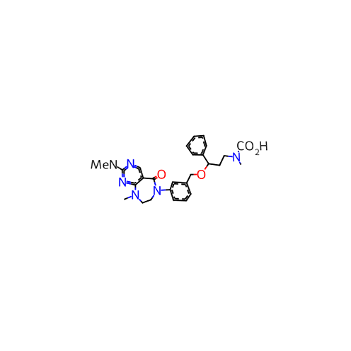 CNc1ncc2c(n1)N(C)CCN(c1cccc(COC(CCN(C)C(=O)O)c3ccccc3)c1)C2=O